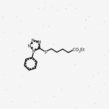 CCOC(=O)CCCCSc1nnnn1-c1ccccc1